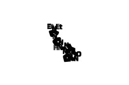 CCN(CC)C1CCN(c2ccc(Nc3ncc4cc5n(c4n3)C3(CCCC3)CN(C)C5=O)nc2)C1